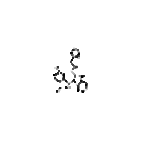 O=C1NC(C2c3ccccc3NC2CNCc2ccco2)c2cc(O)ccc21